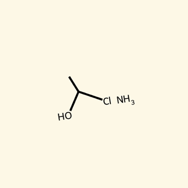 CC(O)Cl.N